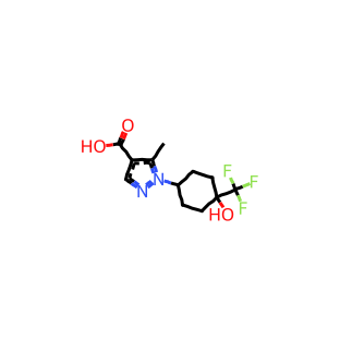 Cc1c(C(=O)O)cnn1C1CCC(O)(C(F)(F)F)CC1